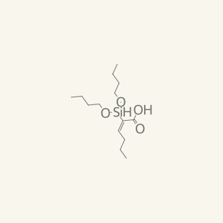 CCC/C=C(\C(=O)O)[SiH](OCCCC)OCCCC